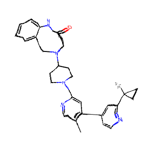 Cc1cnc(N2CCC(N3CC(=O)Nc4ccccc4C3)CC2)cc1-c1ccnc(C2(C(F)(F)F)CC2)c1